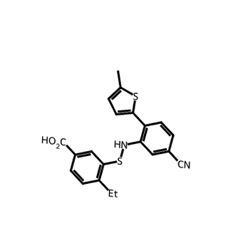 CCc1ccc(C(=O)O)cc1SNc1cc(C#N)ccc1-c1ccc(C)s1